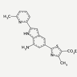 CCOC(=O)c1sc(-c2cc(N)c3[nH]c(-c4cccc(C)n4)cc3c2)nc1C